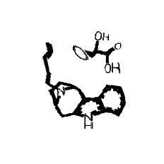 C=CCCN1C2CCC1c1c([nH]c3ccccc13)C2.O=C(O)C(=O)O